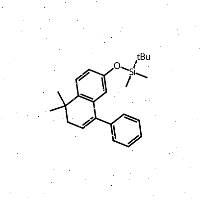 CC1(C)CC=C(c2ccccc2)c2cc(O[Si](C)(C)C(C)(C)C)ccc21